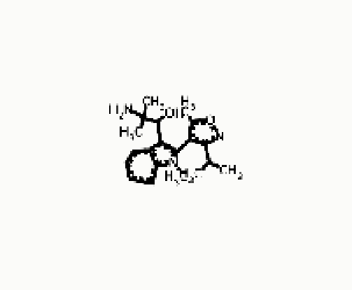 Cc1onc(C(C)C)c1-c1c(C(O)C(C)(C)N)c2ccccc2n1C